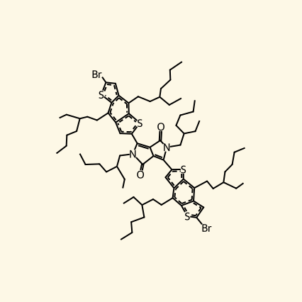 CCCCC(CC)CCc1c2cc(C3=C4C(=O)N(CC(CC)CCCC)C(c5cc6c(CCC(CC)CCCC)c7sc(Br)cc7c(CCC(CC)CCCC)c6s5)=C4C(=O)N3CC(CC)CCCC)sc2c(CCC(CC)CCCC)c2cc(Br)sc12